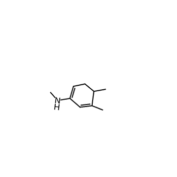 CNC1=CCC(C)C(C)=C1